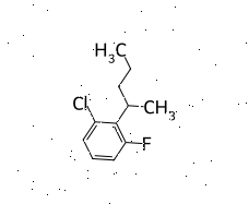 CCCC(C)c1c(F)cccc1Cl